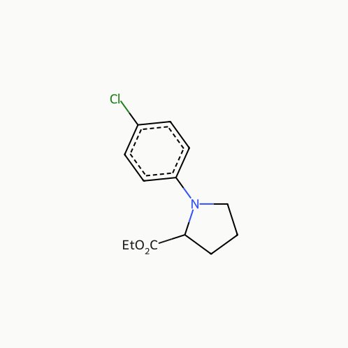 CCOC(=O)C1CCCN1c1ccc(Cl)cc1